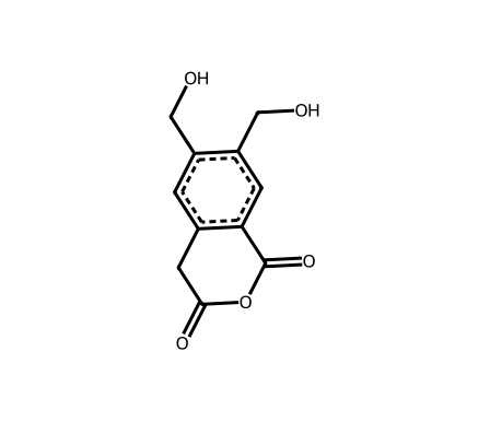 O=C1Cc2cc(CO)c(CO)cc2C(=O)O1